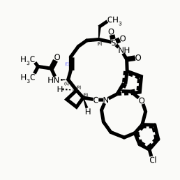 CC[C@@H]1CC/C=C/[C@@H](NC(=O)C(C)C)[C@@H]2CC[C@H]2CN2CCCCc3cc(Cl)ccc3COc3ccc(cc32)C(=O)NS1(=O)=O